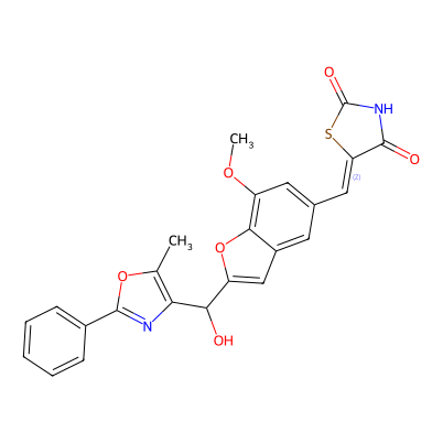 COc1cc(/C=C2\SC(=O)NC2=O)cc2cc(C(O)c3nc(-c4ccccc4)oc3C)oc12